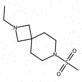 CCN1CC2(CCN(S(C)(=O)=O)CC2)C1